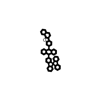 c1ccc2c(c1)-c1ccccc1C21c2ccccc2-c2ccc(-c3c4ccccc4c(-c4ccc5c(c4)oc4c6ccccc6ccc54)c4ccccc34)cc21